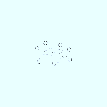 C=C[C@@H](OCC(=C)CO[C@@H]1O[C@H](COC(=O)c2ccccc2)[C@@H](OC(=O)c2ccccc2)[C@H](OC(=O)c2ccccc2)[C@H]1OC(=O)c1ccccc1)O[C@H]1[C@H](OC)O[C@H](COCc2ccccc2)[C@@H](OCc2ccccc2)[C@@H]1OCc1ccccc1